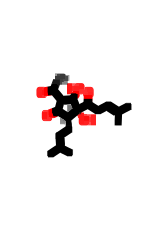 CC(C)=CCC(=O)[C@]1(O)C(O)=C(C(=O)C(C)C)C(=O)[C@@H]1CC=C(C)C